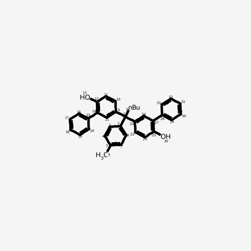 CCCCC(c1ccc(C)cc1)(c1ccc(O)c(-c2ccccc2)c1)c1ccc(O)c(-c2ccccc2)c1